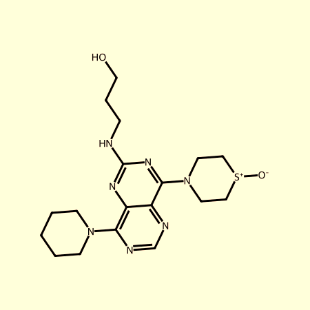 [O-][S+]1CCN(c2nc(NCCCO)nc3c(N4CCCCC4)ncnc23)CC1